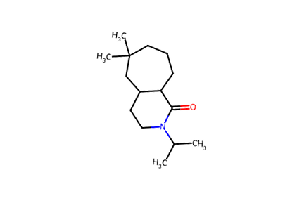 CC(C)N1CCC2CC(C)(C)CCCC2C1=O